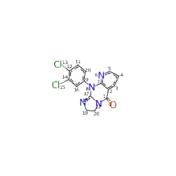 O=C1c2cccnc2N(c2ccc(Cl)c(Cl)c2)C2=NCCN12